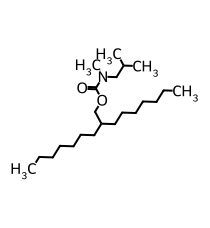 CCCCCCCC(CCCCCCC)COC(=O)N(C)CC(C)C